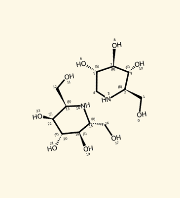 OC[C@H]1NC[C@H](O)[C@@H](O)[C@@H]1O.OC[C@H]1N[C@H](CO)[C@@H](O)[C@H](O)[C@H]1O